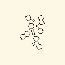 CC1(C)c2ccccc2-c2ccc(Nc3cc4ccccc4cc3-c3cc4c(oc5ccccc54)c4c3Bc3cccc5c6sc7ccccc7c6n-4c35)cc21